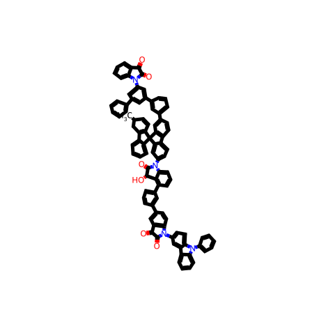 CC1C=CC2=C(C1)c1ccccc1C21c2cc(-c3cccc(-c4cc(-c5ccccc5)cc(N5C(=O)C(=O)c6ccccc65)c4)c3)ccc2-c2ccc(N3C(=O)C(O)c4c(-c5cccc(-c6ccc7c(c6)C(=O)C(=O)N7c6ccc7c(c6)c6ccccc6n7-c6ccccc6)c5)cccc43)cc21